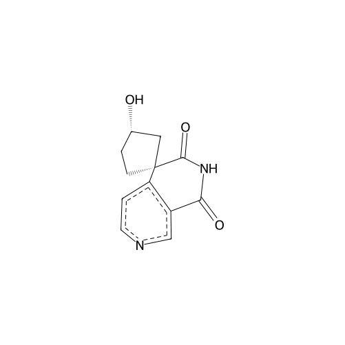 O=C1NC(=O)[C@@]2(CC[C@H](O)C2)c2ccncc21